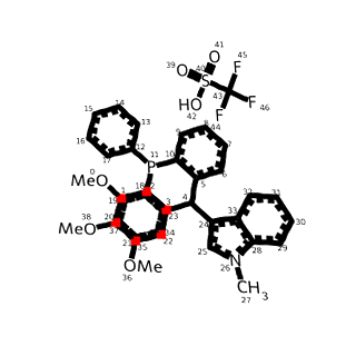 COc1cc(C(c2ccccc2P(c2ccccc2)c2ccccc2)c2cn(C)c3ccccc23)cc(OC)c1OC.O=S(=O)(O)C(F)(F)F